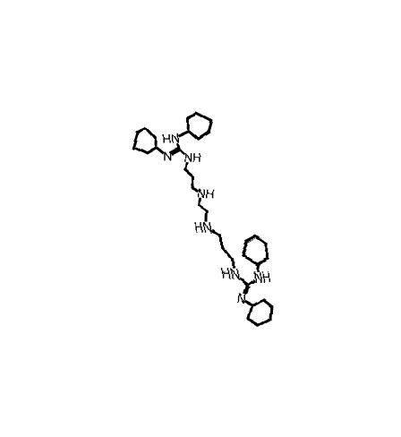 C1CCC(N=C(NCCCNCCNCCCNC(=NC2CCCCC2)NC2CCCCC2)NC2CCCCC2)CC1